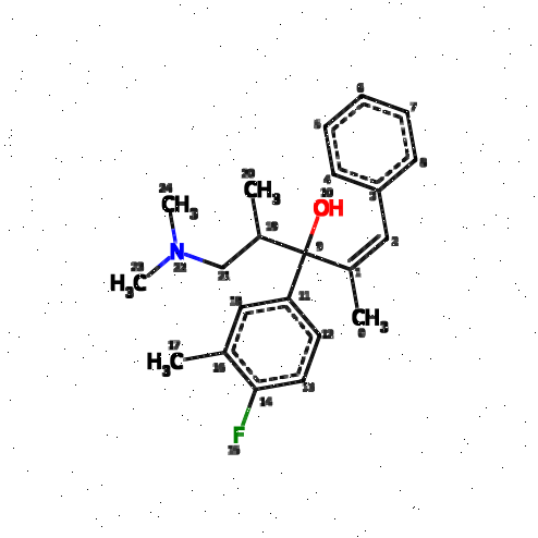 C/C(=C/c1ccccc1)C(O)(c1ccc(F)c(C)c1)C(C)CN(C)C